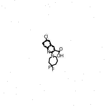 O=C(O)c1cc2cc(Cl)ccc2nc1N1CCCC(F)(F)CC1